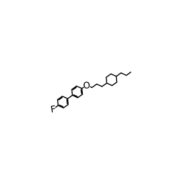 CCCC1CCC(CCCOc2ccc(-c3ccc(F)cc3)cc2)CC1